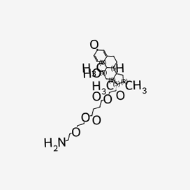 C[C@@H]1CC2[C@@H]3CCC4=CC(=O)C=C[C@]4(C)C3[C@@H](O)C[C@]2(C)[C@H]1C(=O)COC(=O)CCC(=O)OCCOCCN